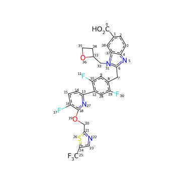 O=C(O)c1ccc2nc(Cc3cc(F)c(-c4ccc(F)c(OCc5ncc(C(F)(F)F)s5)n4)cc3F)n(CC3CCO3)c2c1